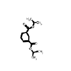 CC(C)OC(=O)C1=CCCC(C(=O)OC(C)C)C1